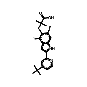 CC(C)(Sc1c(F)cc2[nH]c(-c3cc(C(C)(C)C)ccn3)cc2c1F)C(=O)O